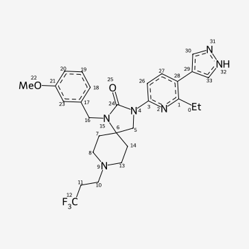 CCc1nc(N2CC3(CCN(CCC(F)(F)F)CC3)N(Cc3cccc(OC)c3)C2=O)ccc1-c1cn[nH]c1